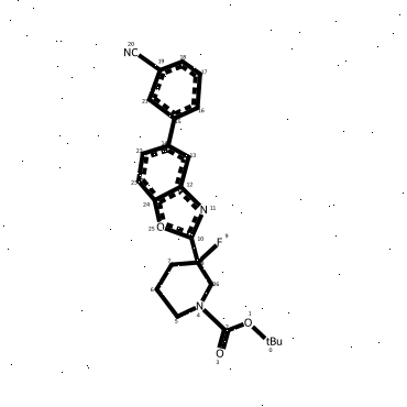 CC(C)(C)OC(=O)N1CCCC(F)(c2nc3cc(-c4cccc(C#N)c4)ccc3o2)C1